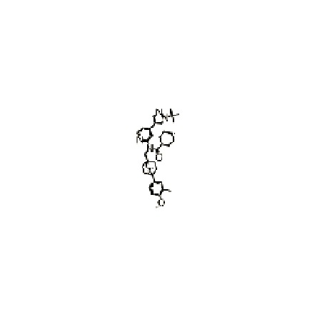 COc1ccc(C23CCC(CN(C(=O)C4CC[CH]CC4)c4cc(-c5cnn(C(C)(C)C)c5)ccn4)(CC2)CC3)cc1C